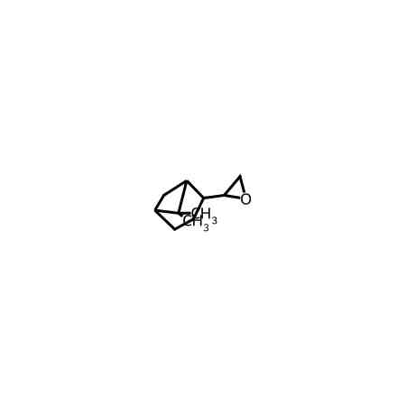 CC1(C)C2CCC(C3CO3)C1C2